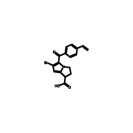 C=Cc1ccc(C(=O)c2c(Br)cc3n2CCC3C(=O)O)cc1